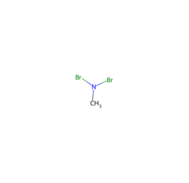 CN(Br)Br